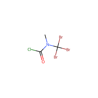 CN(C(=O)Cl)C(Br)(Br)Br